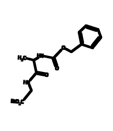 CCOC(=O)CNC(=O)C(C)NC(=O)OCc1ccccc1